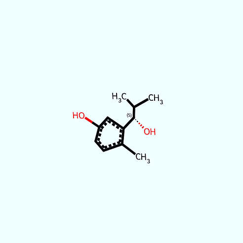 Cc1ccc(O)cc1[C@@H](O)C(C)C